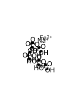 O=P(O)(O)O.O=P(O)(O)OP(=O)(O)O.O=P([O-])([O-])OP(=O)([O-])O.[Fe+2].[Na+]